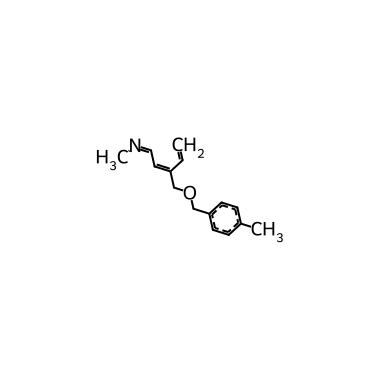 C=C/C(=C\C=N/C)COCc1ccc(C)cc1